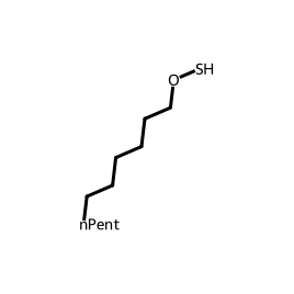 CCCCCCCCCCCOS